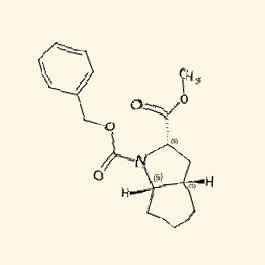 COC(=O)[C@@H]1C[C@@H]2CCC[C@@H]2N1C(=O)OCc1ccccc1